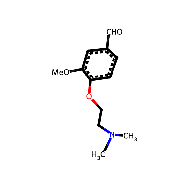 COc1cc(C=O)ccc1OCCN(C)C